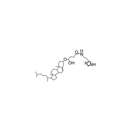 CC(C)CCCC(C)C1CCC2C3CC=C4CC(OC(O)CCC5OC5NCCc5c[nH]cn5)CCC4(C)C3CCC12C